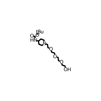 CC(C)(C)OC(=O)NC1CCN(CCOCCOCCOCCO)CC1